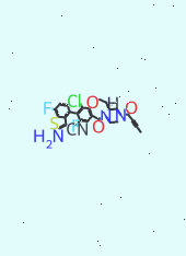 CC#CC(=O)N1CCN2C(=O)c3cc(F)c(-c4ccc(F)c5sc(N)c(C#N)c45)c(Cl)c3OCC[C@H]2C1